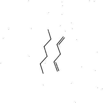 C=CCC=C.CCCCCC